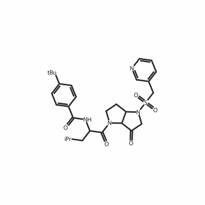 CC(C)CC(NC(=O)c1ccc(C(C)(C)C)cc1)C(=O)N1CCC2C1C(=O)CN2S(=O)(=O)Cc1cccnc1